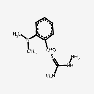 CN(C)c1ccccc1C=O.NNC(N)=S